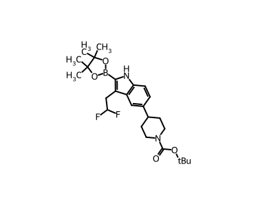 CC(C)(C)OC(=O)N1CCC(c2ccc3[nH]c(B4OC(C)(C)C(C)(C)O4)c(CC(F)F)c3c2)CC1